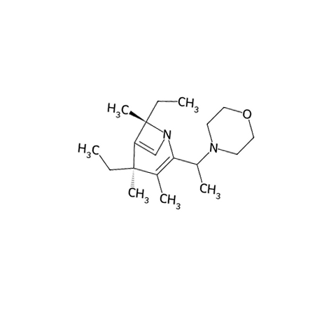 CC[C@@]1(C)C2=CN(C(C(C)N3CCOCC3)=C1C)[C@@]2(C)CC